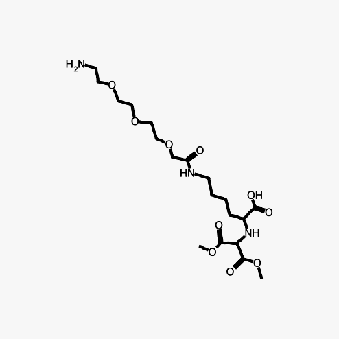 COC(=O)C(NC(CCCCNC(=O)COCCOCCOCCN)C(=O)O)C(=O)OC